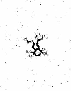 COC(OC)c1cc2c(cc1OCO)C(C)(C)CCC2(C)C